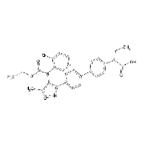 CCOC(=O)N(c1ccccc1Cl)c1c(-c2ccc(-c3ccc(C(CC)C(=O)O)cc3)cc2)noc1C